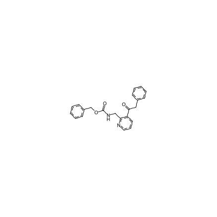 O=C(NCc1ncccc1C(=O)Cc1ccccc1)OCc1ccccc1